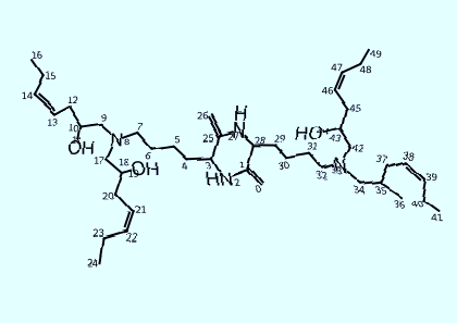 C=C1NC(CCCCN(CC(O)C/C=C\CC)CC(O)C/C=C\CC)C(=C)NC1CCCCN(CC(C)C/C=C\CC)CC(O)C/C=C\CC